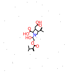 C=C(C(=O)OCC(O)N1CC(C(=C)C)C(CC(=O)O)C1C(=O)O)C(C)C